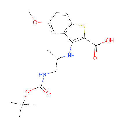 COc1ccc2sc(C(=O)O)c(N[C@@H](C)CNC(=O)OC(C)(C)C)c2c1